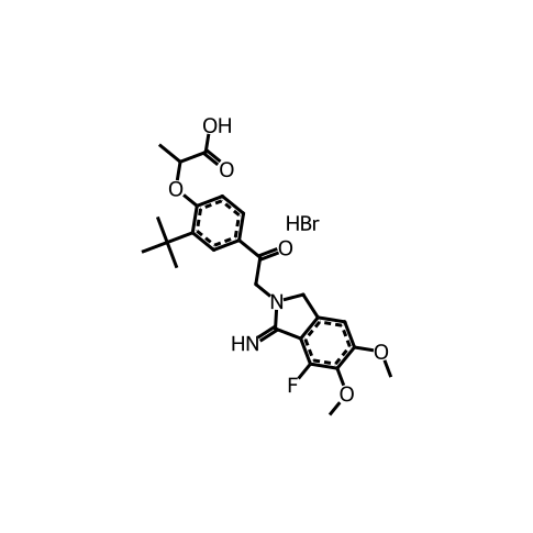 Br.COc1cc2c(c(F)c1OC)C(=N)N(CC(=O)c1ccc(OC(C)C(=O)O)c(C(C)(C)C)c1)C2